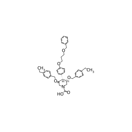 CCc1ccc(CO[C@H]2CN(C(=O)O)C[C@@H](OCc3ccc(CC)cc3)[C@H]2c2ccc(OCCCOCc3ccccc3)cc2)cc1